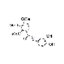 COc1ccc(C(=O)/C=C/c2ccc(O)c(O)c2)c(OC)c1OC